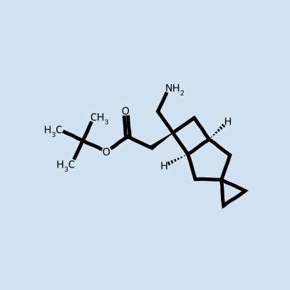 CC(C)(C)OC(=O)C[C@@]1(CN)C[C@H]2CC3(CC3)C[C@H]21